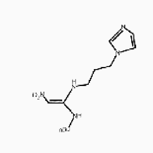 CCCCN/C(=C/[N+](=O)[O-])NCCCn1ccnc1